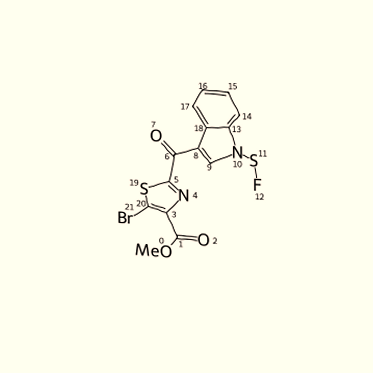 COC(=O)c1nc(C(=O)c2cn(SF)c3ccccc23)sc1Br